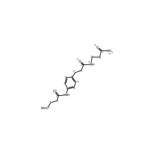 COCCC(=O)Nc1ccc(CCC(=O)NCCC(N)=O)cc1